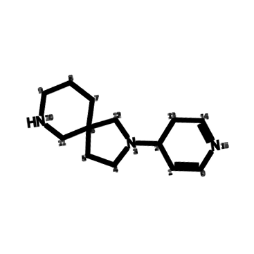 C1=CC(N2CCC3(CCCNC3)C2)CC=N1